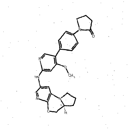 COc1cc(Nc2cnc3c(c2)N2CCC[C@H]2CO3)ncc1-c1ccc(N2CCCC2=O)cc1